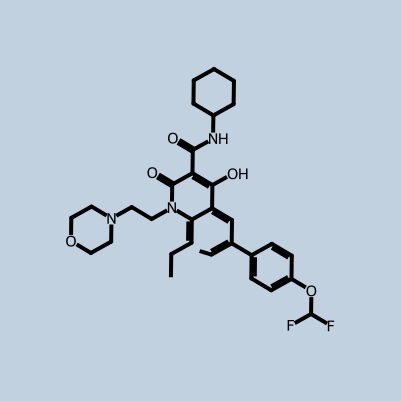 C\C=C(/C=c1/c(O)c(C(=O)NC2CCCCC2)c(=O)n(CCN2CCOCC2)/c1=C\CC)c1ccc(OC(F)F)cc1